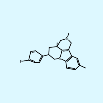 Cc1ccc2c(c1)c1c3n2CC(c2ccc(F)cc2)CC3(C)CN(C)C1